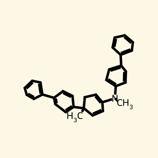 CN(C1=CCC(C)(c2ccc(-c3ccccc3)cc2)C=C1)c1ccc(-c2ccccc2)cc1